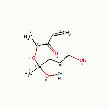 C=CC(=O)C(C)O[Si](C)(CCCO)OCC